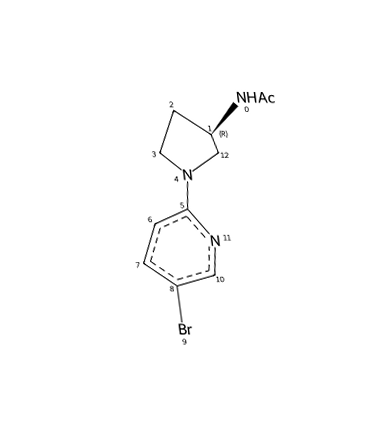 CC(=O)N[C@@H]1CCN(c2ccc(Br)cn2)C1